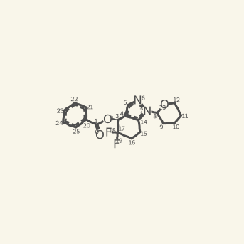 O=C(O[C@H]1c2cnn(C3CCCCO3)c2CCC1(F)F)c1ccccc1